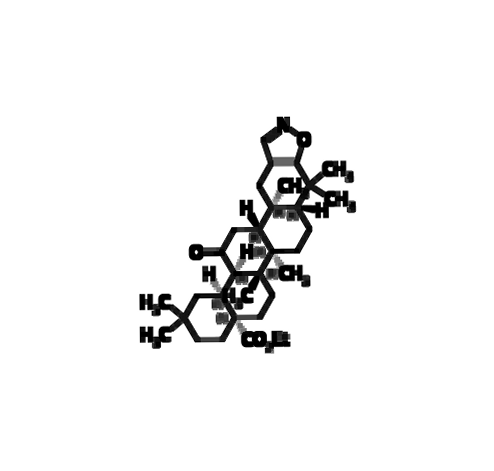 CCOC(=O)[C@]12CCC(C)(C)C[C@H]1[C@H]1C(=O)C[C@@H]3[C@@]4(C)Cc5cnoc5C(C)(C)[C@@H]4CC[C@@]3(C)[C@]1(C)CC2